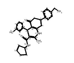 CCc1ccc(C2CC(=O)C3=C(C2)NC(C)=C(C(=O)NC2CCCC2)C3c2cccc(O)c2)cc1